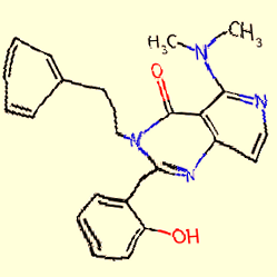 CN(C)c1nccc2nc(-c3ccccc3O)n(CCc3ccccc3)c(=O)c12